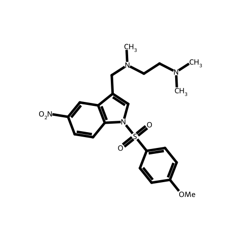 COc1ccc(S(=O)(=O)n2cc(CN(C)CCN(C)C)c3cc([N+](=O)[O-])ccc32)cc1